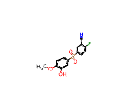 COc1ccc(S(=O)(=O)c2ccc(F)c(C#N)c2)cc1O